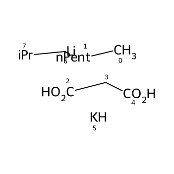 CCCCCC.O=C(O)CC(=O)O.[KH].[Li][CH](C)C